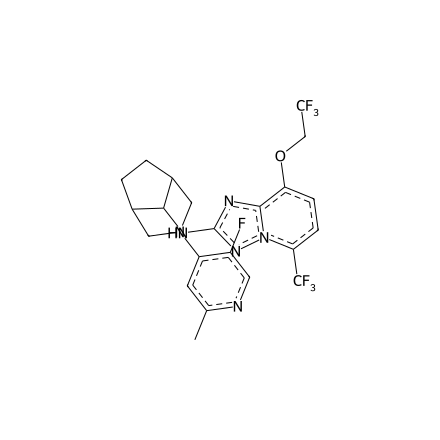 Cc1cc(N2CC3CCC(C2)C3Nc2nc3c(OCC(F)(F)F)ccc(C(F)(F)F)n3n2)c(F)cn1